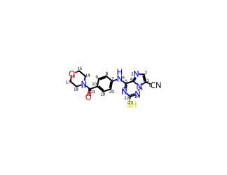 N#Cc1cnc2c(Nc3ccc(C(=O)N4CCOCC4)cc3)nc(S)nn12